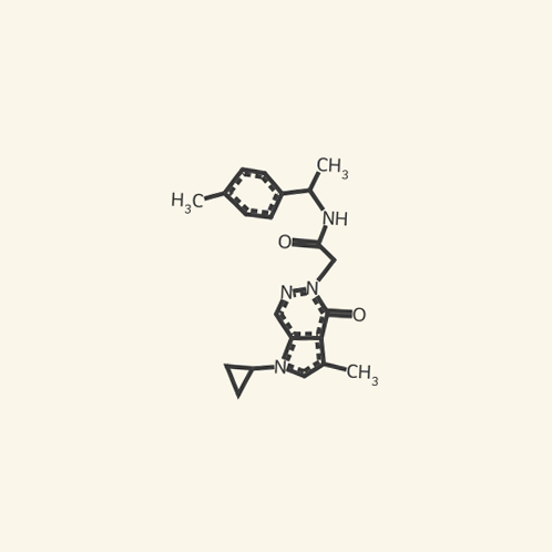 Cc1ccc(C(C)NC(=O)Cn2ncc3c(c(C)cn3C3CC3)c2=O)cc1